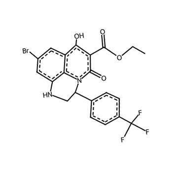 CCOC(=O)c1c(O)c2cc(Br)cc3c2n(c1=O)C(c1ccc(C(F)(F)F)cc1)CN3